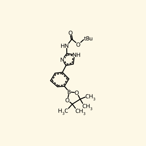 CC(C)(C)OC(=O)Nc1nc(-c2cccc(B3OC(C)(C)C(C)(C)O3)c2)c[nH]1